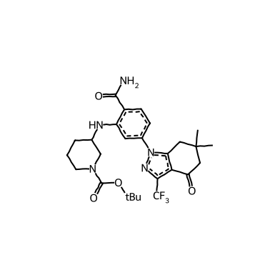 CC1(C)CC(=O)c2c(C(F)(F)F)nn(-c3ccc(C(N)=O)c(NC4CCCN(C(=O)OC(C)(C)C)C4)c3)c2C1